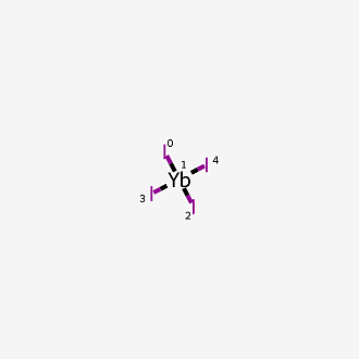 [I][Yb]([I])([I])[I]